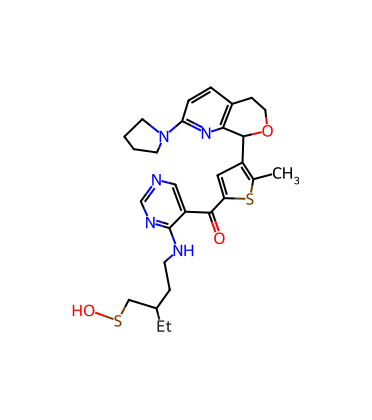 CCC(CCNc1ncncc1C(=O)c1cc(C2OCCc3ccc(N4CCCC4)nc32)c(C)s1)CSO